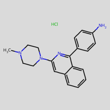 CN1CCN(c2cc3ccccc3c(-c3ccc(N)cc3)n2)CC1.Cl